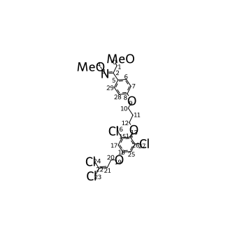 COCC(=NOC)c1ccc(OCCCOc2c(Cl)cc(OCC=C(Cl)Cl)cc2Cl)cc1